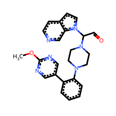 COc1ncc(-c2ccccc2N2CCN(C(C=O)n3ccc4ccncc43)CC2)cn1